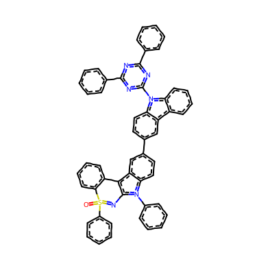 O=S1(c2ccccc2)=Nc2c(c3cc(-c4ccc5c(c4)c4ccccc4n5-c4nc(-c5ccccc5)nc(-c5ccccc5)n4)ccc3n2-c2ccccc2)-c2ccccc21